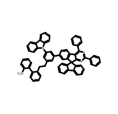 Nc1ccccc1-c1ccccc1CCc1cc(-c2ccc3c(c2)C2(c4ccccc4-c4ccccc42)c2nc(-c4ccccc4)nc(-c4ccccc4)c2-3)cc(-n2c3ccccc3c3ccccc32)c1